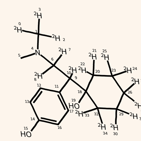 [2H]C([2H])([2H])N(C)C([2H])([2H])C([2H])(c1ccc(O)cc1)C1(O)C([2H])([2H])C([2H])([2H])C([2H])([2H])C([2H])([2H])C1([2H])[2H]